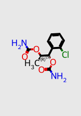 C[C@@H](OC(N)=O)[C@@H](OC(N)=O)c1ccccc1Cl